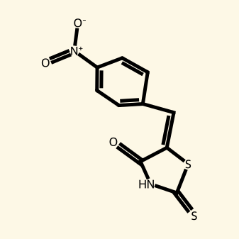 O=C1NC(=S)SC1=Cc1ccc([N+](=O)[O-])cc1